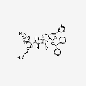 C=CCON=C(C(=O)NC1C(=O)N2C(C(=O)OC(c3ccccc3)c3ccccc3)=C(C=Cc3cccnc3)CS[C@@H]12)c1nsc(N)n1